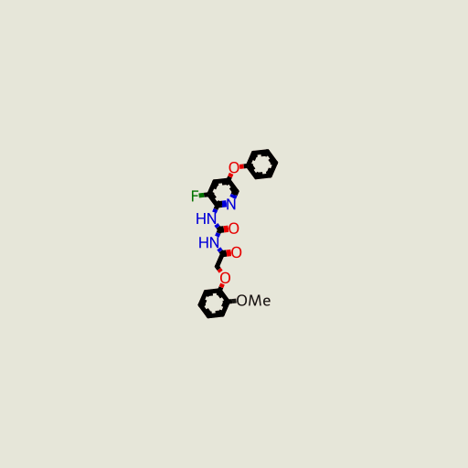 COc1ccccc1OCC(=O)NC(=O)Nc1ncc(Oc2ccccc2)cc1F